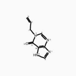 C=CCn1cnc2nc[nH]c2c1=O